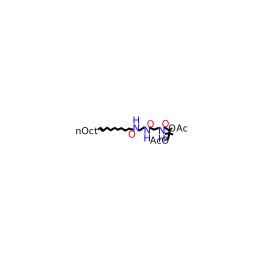 CCCCCCCCC=CCCCCCCCC(=O)NCCNC(=O)CCNC(=O)C(OC(C)=O)C(C)(C)COC(C)=O